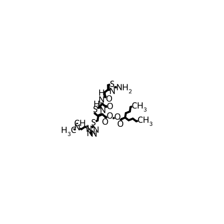 CCCCC(CCCC)C(=O)OCOC(=O)C1=C(CSc2nnnn2CCN(C)C)CS[C@H]2[C@H](NC(=O)Cc3csc(N)n3)C(=O)N12